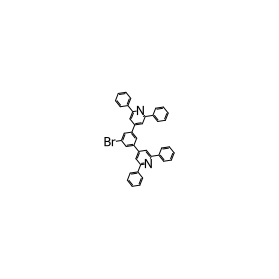 Brc1cc(-c2cc(-c3ccccc3)nc(-c3ccccc3)c2)cc(-c2cc(-c3ccccc3)nc(-c3ccccc3)c2)c1